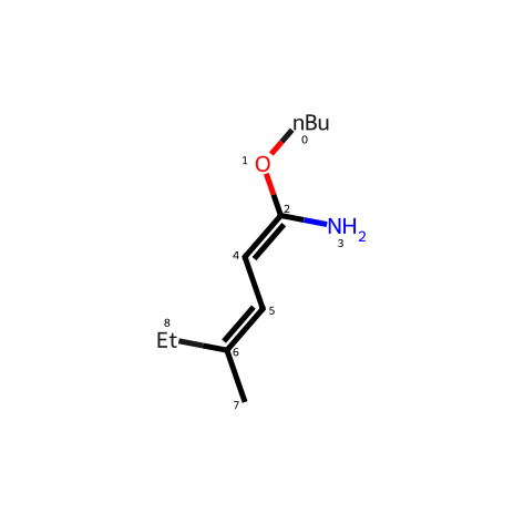 CCCCO/C(N)=C/C=C(/C)CC